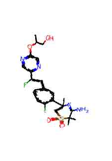 CC(CO)Oc1cnc(/C(F)=C/c2ccc(F)c(C3(C)CS(=O)(=O)C(C)(C)C(N)=N3)c2)cn1